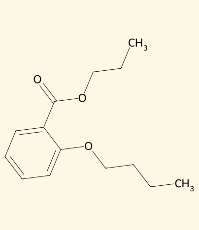 CCCCOc1ccccc1C(=O)OCCC